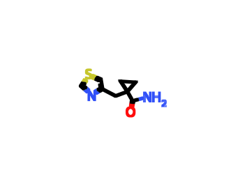 NC(=O)C1(Cc2cscn2)CC1